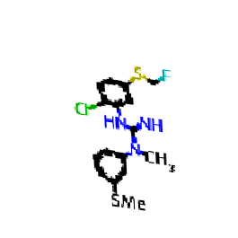 CSc1cccc(N(C)C(=N)Nc2cc(SCF)ccc2Cl)c1